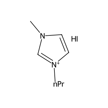 CCC[n+]1ccn(C)c1.I